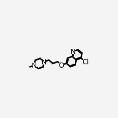 CN1CCN(CCCOc2ccc3c(Cl)ccnc3c2)CC1